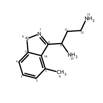 Cc1cccc2snc(C(N)CCN)c12